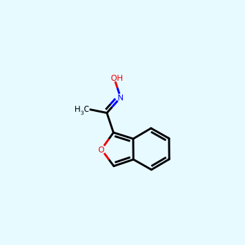 CC(=NO)c1occ2ccccc12